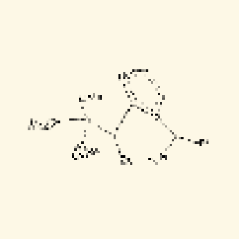 CCC(N)n1ccnc1C(CC)[Si](OC)(OC)OC